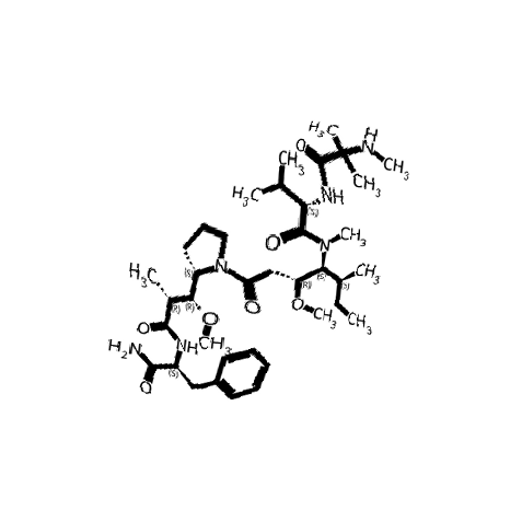 CC[C@H](C)[C@@H]([C@@H](CC(=O)N1CCC[C@H]1[C@H](OC)[C@@H](C)C(=O)N[C@@H](Cc1ccccc1)C(N)=O)OC)N(C)C(=O)[C@@H](NC(=O)C(C)(C)NC)C(C)C